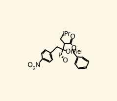 COC(Cc1ccc([N+](=O)[O-])cc1)(P=O)C(CC(C)C)C(=O)OCc1ccccc1